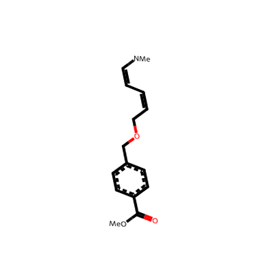 CN/C=C\C=C/COCc1ccc(C(=O)OC)cc1